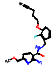 C#CCCCOc1cccc(CNC(=O)c2ccc(COC)nc2N)c1F